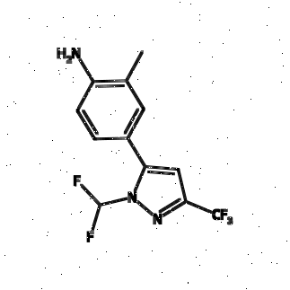 Cc1cc(-c2cc(C(F)(F)F)nn2C(F)F)ccc1N